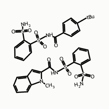 CC(C)(C)c1ccc(C(=O)NS(=O)(=O)c2ccccc2S(N)(=O)=O)cc1.Cn1c(C(=O)NS(=O)(=O)c2ccccc2S(N)(=O)=O)cc2ccccc21